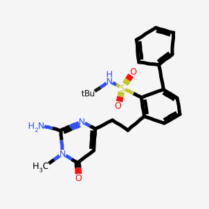 Cn1c(N)nc(CCc2cccc(-c3ccccc3)c2S(=O)(=O)NC(C)(C)C)cc1=O